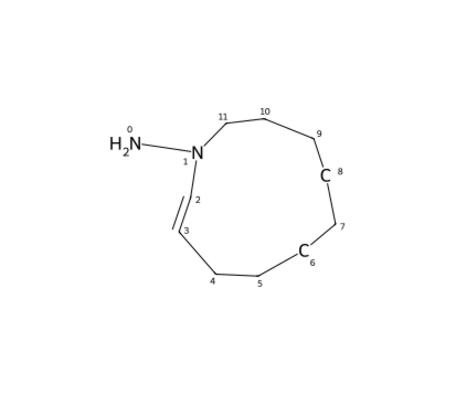 NN1/C=C/CCCCCCCC1